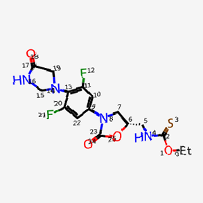 CCOC(=S)NC[C@H]1CN(c2cc(F)c(N3CNC(=O)C3)c(F)c2)C(=O)O1